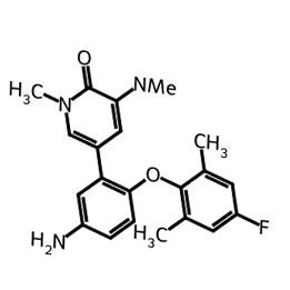 CNc1cc(-c2cc(N)ccc2Oc2c(C)cc(F)cc2C)cn(C)c1=O